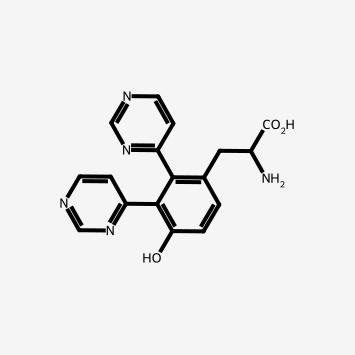 NC(Cc1ccc(O)c(-c2ccncn2)c1-c1ccncn1)C(=O)O